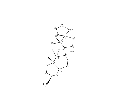 CC(=O)O[C@H]1CC[C@@]2(C)[C@@](C)(CCC3[C@]2(C)CC[C@]2(C)C4(CC[C@@]32C)OCCO4)C1